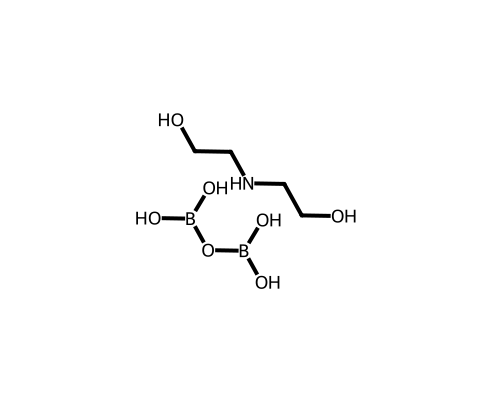 OB(O)OB(O)O.OCCNCCO